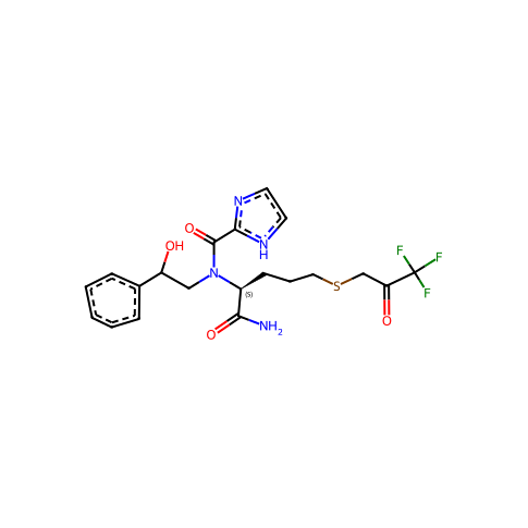 NC(=O)[C@H](CCCSCC(=O)C(F)(F)F)N(CC(O)c1ccccc1)C(=O)c1ncc[nH]1